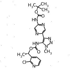 C[C@@H](OC(=O)Nc1c(-c2cnc(NC(=O)OC(C)(C)C)cn2)nnn1C)c1cccnc1Cl